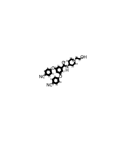 N#Cc1ccc(Oc2cc(Oc3ccc(C#N)cc3)cc(C(=O)NC3CCN(CCO)CC3)c2)cc1